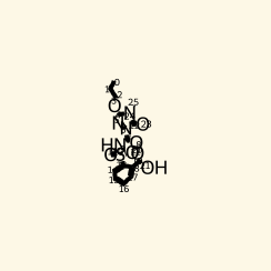 CCCOc1nn(C(=O)NS(=O)(=O)c2ccccc2C(=O)O)c(=O)n1C